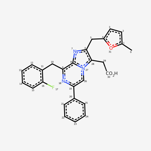 Cc1ccc(Cc2nc3c(Cc4ccccc4F)nc(-c4ccccc4)cn3c2CC(=O)O)o1